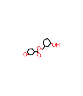 O=C(OCC1CCCCC(O)C1)C1CCC2OC2C1